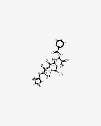 CC(C)C[C@H](NC(NC(=O)c1ccccc1)C(=O)O)C(=O)OC(=O)[C@@H](N)Cc1cnc[nH]1